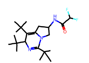 CC(C)(C)C1=NC(C(C)(C)C)C(C(C)(C)C)=C2CC(NC(=O)C(F)F)CN12